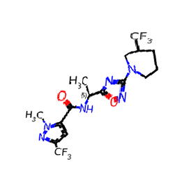 C[C@H](NC(=O)c1cc(C(F)(F)F)nn1C)c1nc(N2CCCC(C(F)(F)F)C2)no1